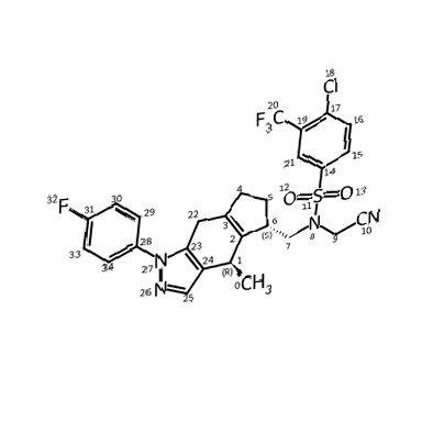 C[C@@H]1C2=C(CC[C@@H]2CN(CC#N)S(=O)(=O)c2ccc(Cl)c(C(F)(F)F)c2)Cc2c1cnn2-c1ccc(F)cc1